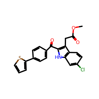 COC(=O)Cc1c(C(=O)c2ccc(-c3cccs3)cc2)[nH]c2cc(Cl)ccc12